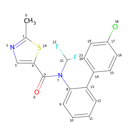 Cc1ncc(C(=O)N(c2ccccc2-c2ccc(Cl)cc2)C(F)F)s1